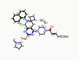 COC/C=C/C(=O)N1CCN(c2nc(OC[C@@H]3CCCN3C)nc3c2CC2(CCC2)N(c2cccc4cccc(Cl)c24)C3)C[C@@H]1CC#N